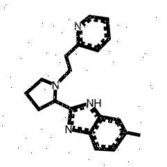 Cc1ccc2nc(C3CCCN3CCc3ccccn3)[nH]c2c1